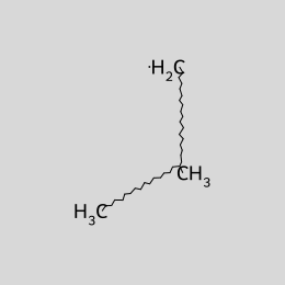 [CH2]CCCCCCCCCCCCCCCCCC(C)CCCCCCCCCCCCCCCC